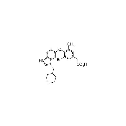 Cc1cc(CC(=O)O)cc(Br)c1Oc1ccc2[nH]cc(CC3CCCCC3)c2c1